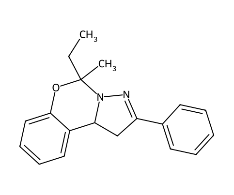 CCC1(C)Oc2ccccc2C2CC(c3ccccc3)=NN21